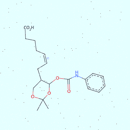 CC1(C)OCC(C/C=C\CCCC(=O)O)C(OC(=O)Nc2ccccc2)O1